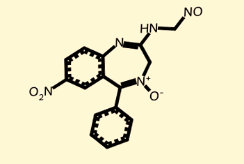 O=NCNC1=Nc2ccc([N+](=O)[O-])cc2C(c2ccccc2)=[N+]([O-])C1